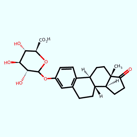 C[C@]12CC[C@@H]3c4ccc(OC5O[C@H](C(=O)O)[C@@H](O)[C@H](O)[C@H]5O)cc4CC[C@H]3[C@@H]1CCC2=O